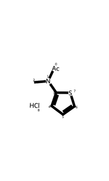 CC(=O)N(C)c1cccs1.Cl